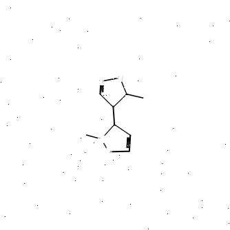 CC1NN=CC1C1C=CNN1C